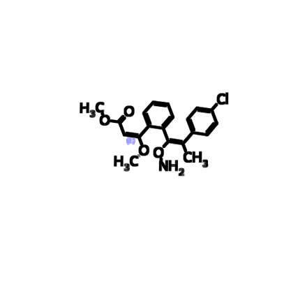 COC(=O)/C=C(/OC)c1ccccc1C(ON)=C(C)c1ccc(Cl)cc1